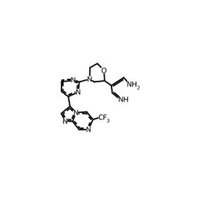 N=C/C(=C\N)C1CN(c2nccc(-c3cnc4cnc(C(F)(F)F)cn34)n2)CCO1